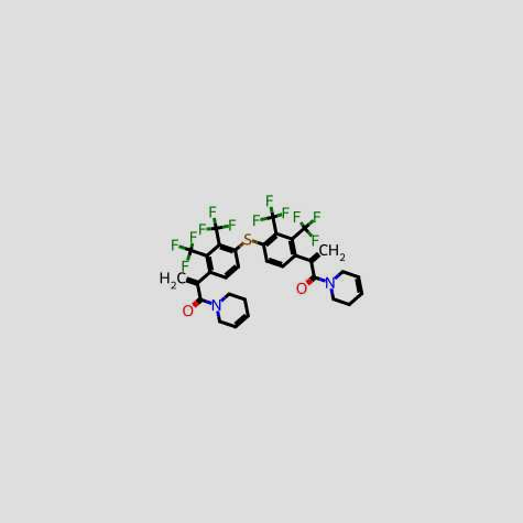 C=C(C(=O)N1CC=CCC1)c1ccc(Sc2ccc(C(=C)C(=O)N3CC=CCC3)c(C(F)(F)F)c2C(F)(F)F)c(C(F)(F)F)c1C(F)(F)F